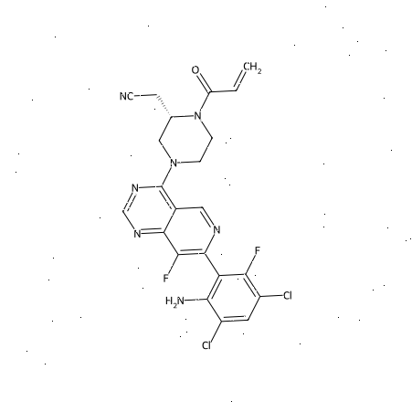 C=CC(=O)N1CCN(c2ncnc3c(F)c(-c4c(N)c(Cl)cc(Cl)c4F)ncc23)C[C@@H]1CC#N